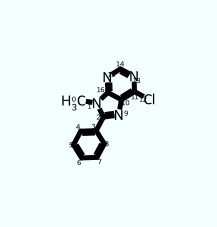 Cn1c(-c2ccccc2)nc2c(Cl)ncnc21